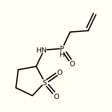 C=CC[PH](=O)NC1CCCS1(=O)=O